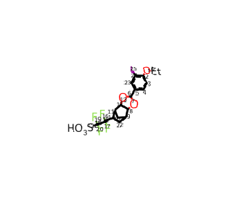 CCOc1ccc(C2OC3C4CC(C3O2)C(C(F)(F)C(F)(F)S(=O)(=O)O)C4)cc1I